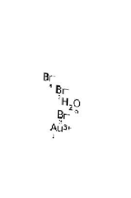 O.[Au+3].[Br-].[Br-].[Br-]